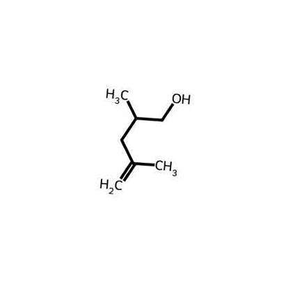 C=C(C)CC(C)CO